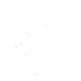 Cc1cnn2c(NCc3cccnc3)cc(C3CCCN(C(=O)C4CCCC4)C3)nc12